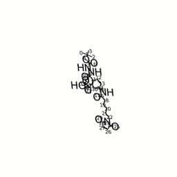 CC(C)(C)OC(=O)NNC(=O)c1ccc(NC(=O)CCCCCN2C(=O)C=CC2=O)cc1S(=O)(=O)O